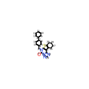 O=c1n(Cc2ccc(-c3ccccc3)cc2)c2sc3c(c2c2ncnn12)CCCC3